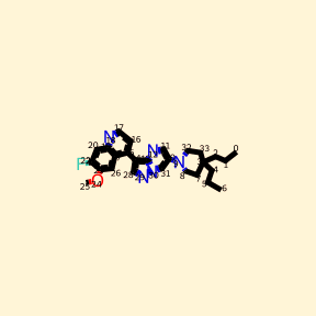 CCCC1(CCC)CCN(c2cnc3c(-c4ccnc5cc(F)c(OC)cc45)cnn3c2)CC1